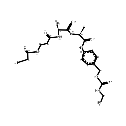 CC(C)CNC(=O)OCc1ccc(NC(=O)[C@H](C)NC(=O)[C@@H](NC(=O)CCNC(=O)CI)C(C)C)cc1